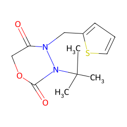 CC(C)(C)N1C(=O)OCC(=O)N1Cc1cccs1